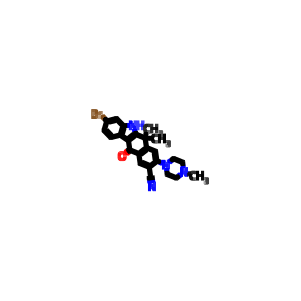 CN1CCN(c2cc3c(cc2C#N)C(=O)c2c([nH]c4cc(Br)ccc24)C3(C)C)CC1